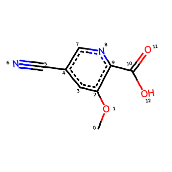 COc1cc(C#N)cnc1C(=O)O